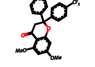 COc1cc(OC)c2c(c1)OC(c1ccccc1)(c1ccc(C(F)(F)F)cc1)CC2=O